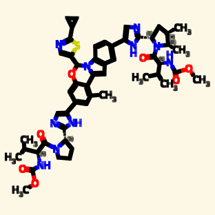 COC(=O)N[C@H](C(=O)N1CCC[C@H]1c1ncc(-c2cc(C)c3c(c2)OC(c2cnc(C4CC4)s2)n2c-3cc3cc(-c4cnc([C@@H]5C[C@@H](C)[C@@H](C)N5C(=O)[C@@H](NC(=O)OC)C(C)C)[nH]4)ccc32)[nH]1)C(C)C